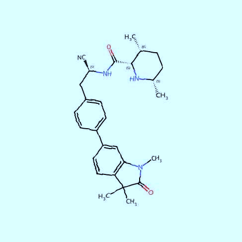 C[C@@H]1CC[C@H](C)N[C@@H]1C(=O)N[C@H](C#N)Cc1ccc(-c2ccc3c(c2)N(C)C(=O)C3(C)C)cc1